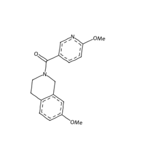 COc1ccc2c(c1)CN(C(=O)c1ccc(OC)nc1)CC2